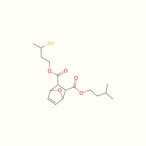 CC(C)CCOC(=O)C1C2C=CC(O2)C1C(=O)OCCC(C)S